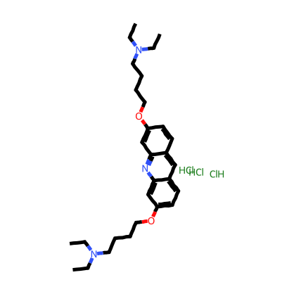 CCN(CC)CCCCOc1ccc2cc3ccc(OCCCCN(CC)CC)cc3nc2c1.Cl.Cl.Cl